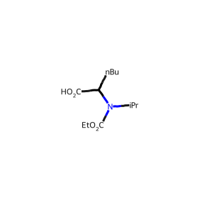 CCCCC(C(=O)O)N(C(=O)OCC)C(C)C